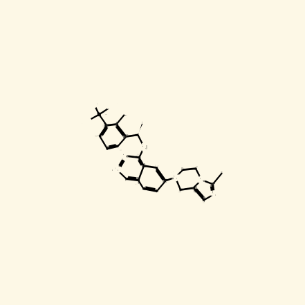 Cc1c([C@@H](C)Nc2nncc3ccc(N4CCn5c(cnc5C)C4)cc23)cccc1C(F)(F)F